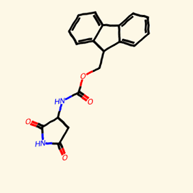 O=C1CC(NC(=O)OCC2c3ccccc3-c3ccccc32)C(=O)N1